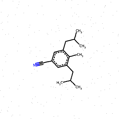 Cc1c(CC(C)C)cc(C#N)cc1CC(C)C